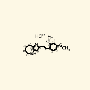 COc1ccc(/C=C/c2nc3c(s2)NCCCC3)c(OC)c1.Cl